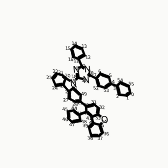 c1ccc(-c2ccc(-c3nc(-c4ccccc4)nc(-n4c5ccccc5c5ccc(-c6ccc7oc8ccccc8c7c6-c6ccccc6)cc54)n3)cc2)cc1